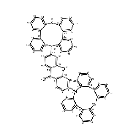 O=c1c2ccc(N3c4ccccc4-c4ccccc4Sc4ccccc4-c4ccccc43)cc2oc2cc(N3c4ccccc4-c4ccccc4Sc4ccccc4-c4ccccc43)ccc12